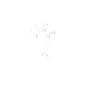 CS(=N)(=O)CC1CCCN(c2ccnc(-c3cnc4cnc(C(F)(F)F)cn34)n2)C1